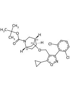 CC(C)(C)OC(=O)N1C[C@@H]2CC[C@H]1C[C@@H]2OCc1c(-c2c(Cl)cccc2Cl)noc1C1CC1